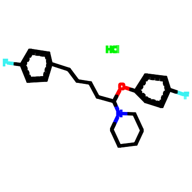 Cl.Fc1ccc(CCCCC(Oc2ccc(F)cc2)N2CCCCC2)cc1